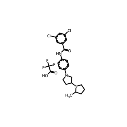 CC1CCCN1C1CCN(c2ccc(NC(=O)c3cc(Cl)cc(Cl)c3)cc2)C1.O=C(O)C(F)(F)F